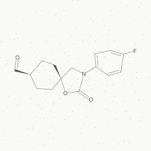 O=C[C@H]1CC[C@@]2(CC1)CN(c1ccc(F)cc1)C(=O)O2